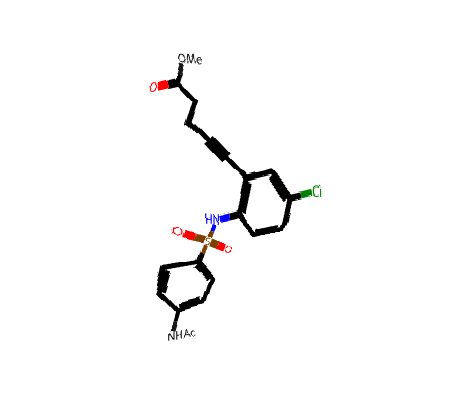 COC(=O)CCC#Cc1cc(Cl)ccc1NS(=O)(=O)c1ccc(NC(C)=O)cc1